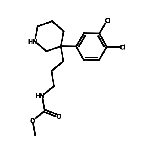 COC(=O)NCCCC1(c2ccc(Cl)c(Cl)c2)CCCNC1